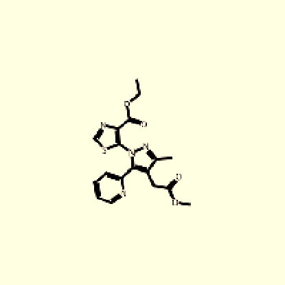 CCOC(=O)c1ncsc1-n1nc(C)c(CC(=O)OC)c1-c1ccccn1